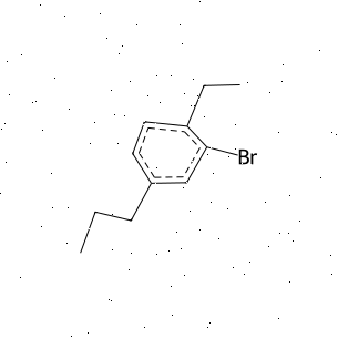 CCCc1ccc(CC)c(Br)c1